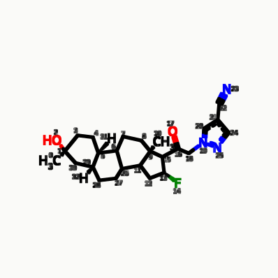 C[C@@]1(O)CC[C@@H]2C3CC[C@@]4(C)C(C[C@H](F)C4C(=O)Cn4cc(C#N)cn4)C3CC[C@@H]2C1